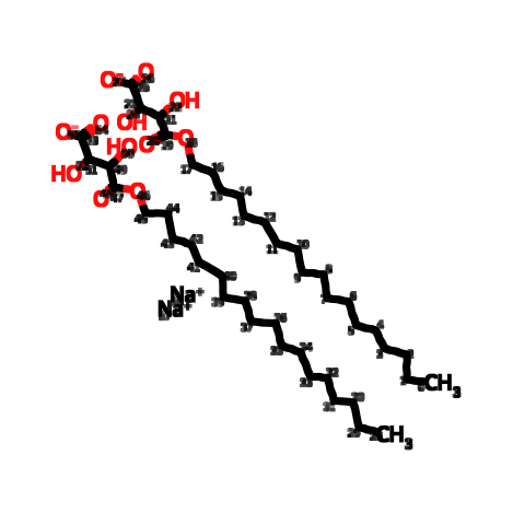 CCCCCCCCCCCCCCCCCCOC(=O)C(O)C(O)C(=O)[O-].CCCCCCCCCCCCCCCCCCOC(=O)C(O)C(O)C(=O)[O-].[Na+].[Na+]